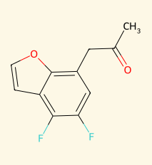 CC(=O)Cc1cc(F)c(F)c2ccoc12